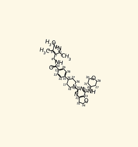 Cc1nn(C)c(C)c1CNC(=O)c1ccc(C2CCN(c3nc4c(c(NC5CCOCC5)n3)OCC4)CC2)cc1